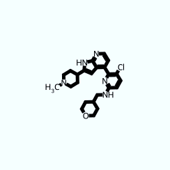 CN1CCC(c2cc3c(-c4nc(NCC5CCOCC5)ccc4Cl)ccnc3[nH]2)CC1